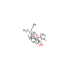 C=C(C)C(=O)C1C[C@H](O)CC2=CC[C@H]3[C@@H]4CC[C@H]([C@H](C)CCCC(C)C)[C@@]4(C)CC[C@@H]3[C@]21C